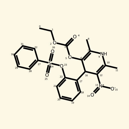 CCOC(=O)OC1=C(C)NC(C)=C([N+](=O)[O-])C1c1ccccc1OS(=O)(=O)c1ccccc1